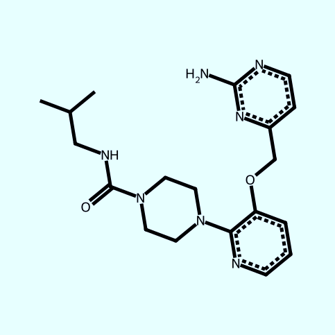 CC(C)CNC(=O)N1CCN(c2ncccc2OCc2ccnc(N)n2)CC1